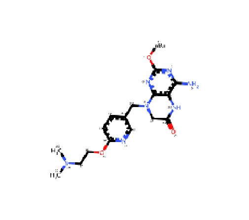 CCCCOc1nc(N)c2c(n1)N(Cc1ccc(OCCN(C)C)nc1)CC(=O)N2